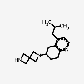 CC(C)Cc1ccnc2c1CC(N1CC3(CNC3)C1)CC2